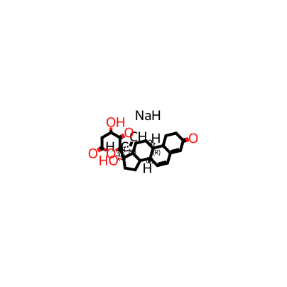 CC[C@]1([C@]2(O)CCC3[C@H]4C=CC5=CC(=O)CCC5[C@@H]4CC[C@@]32C)OC(=O)CC(O)C1=O.[NaH]